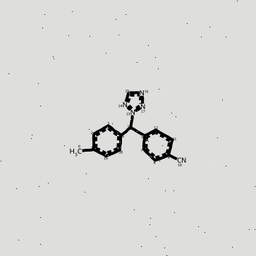 Cc1ccc(C(c2ccc(C#N)cc2)n2ncnn2)cc1